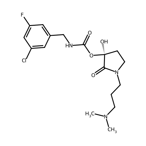 CN(C)CCCN1CC[C@](O)(OC(=O)NCc2cc(F)cc(Cl)c2)C1=O